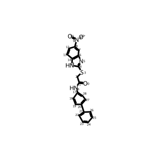 O=C(CSc1nc2cc([N+](=O)[O-])ccc2[nH]1)Nc1ccc(-c2ccccc2)cc1